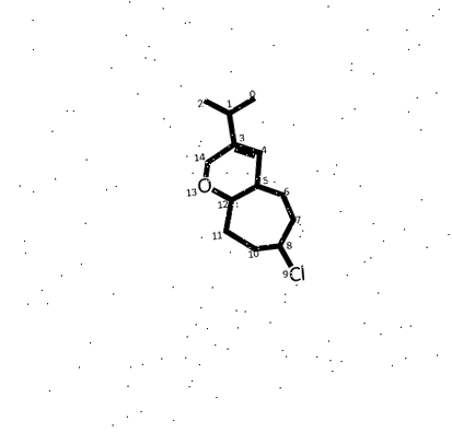 CC(C)C1=CC2CCC(Cl)CCC2OC1